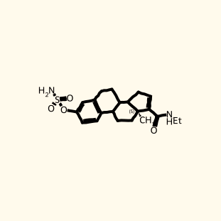 CCNC(=O)C1=CCC2C3CCc4cc(OS(N)(=O)=O)ccc4C3CC[C@]12C